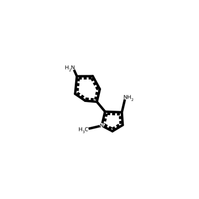 Cn1ccc(N)c1-c1ccc(N)cc1